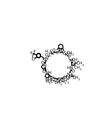 CC[C@H](C)[C@@H]1NC(=O)[C@H](CC(C)C)N(C)C(=O)C[C@@H](C)N(C)C(=O)[C@H](C(C)C)N(C)C(=O)C2(CCCC2)NC(=O)[C@@H]2CCCN2C(=O)[C@H](CCc2ccc(C(F)(F)F)c(Cl)c2)NC(=O)CN(C)C(=O)[C@H](CC2CCCCC2)N(C)C(=O)CN(C)C(=O)CN(C)C1=O